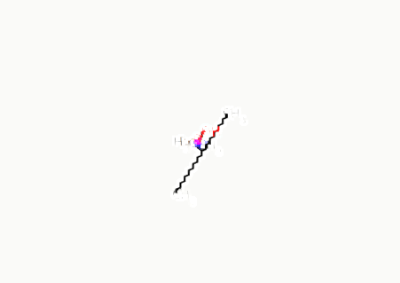 CCCCCCCCCCCCCC(CCCCCCCCCCCC)C[N+](C)(C)OCCO.[Br-]